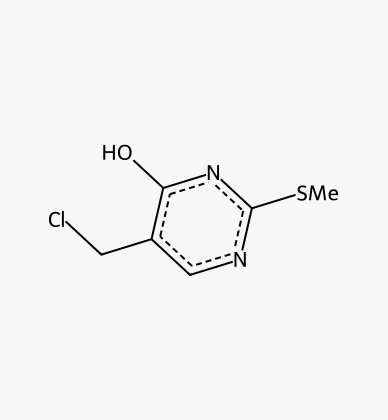 CSc1ncc(CCl)c(O)n1